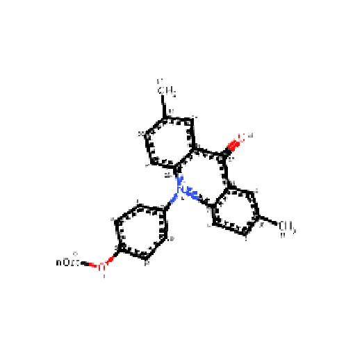 CCCCCCCCOc1ccc(-n2c3ccc(C)cc3c(=O)c3cc(C)ccc32)cc1